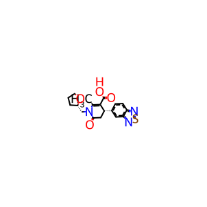 CC1=C(C(=O)O)[C@H](c2ccc3nsnc3c2)CC(=O)N1C[C@@H]1CCCO1